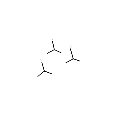 NC(O)C(=O)[O-].NC(O)C(=O)[O-].NC(O)C(=O)[O-].[Al+3]